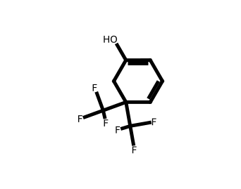 OC1=CC=CC(C(F)(F)F)(C(F)(F)F)C1